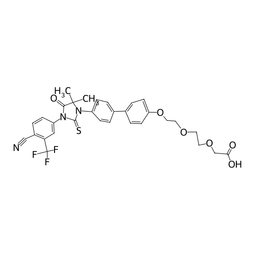 CC1(C)C(=O)N(c2ccc(C#N)c(C(F)(F)F)c2)C(=S)N1c1ccc(-c2ccc(OCCOCCOCC(=O)O)cc2)cc1